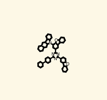 c1ccc(-c2ccc(-c3nc(-c4ccc5oc6ccccc6c5c4)nc(-c4cc(-n5c6ccccc6c6cc7ccccc7cc65)c5oc6ccccc6c5c4)n3)cc2)cc1